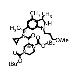 COCCCN1NC(C)c2c(C)cc([C@@H](C)N(C(=O)[C@H]3CN(C(=O)OC(C)(C)C)CCN3C(=O)OC(C)(C)C)C3CC3)cc21